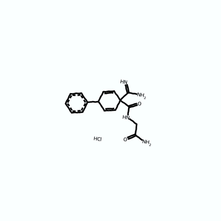 Cl.N=C(N)C1(C(=O)NCC(N)=O)C=CC(c2ccccc2)C=C1